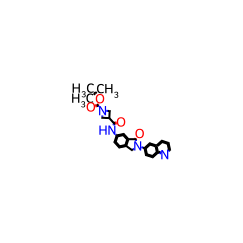 CC(C)(C)OC(=O)N1CC(C(=O)Nc2ccc3c(c2)C(=O)N(c2ccc4ncccc4c2)C3)C1